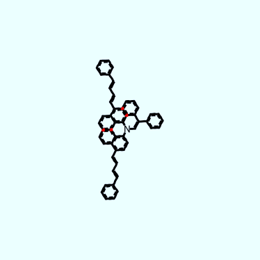 C(=C(c1ccccc1)c1ccccc1)N(c1ccc(/C=C/C=C/c2ccccc2)c2ccccc12)c1ccc(/C=C/C=C/c2ccccc2)c2ccccc12